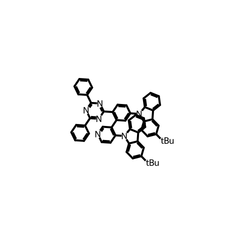 CC(C)(C)c1ccc2c(c1)c1ccccc1n2-c1ccc(-c2nc(-c3ccccc3)nc(-c3ccccc3)n2)c(-c2cnccc2-n2c3ccccc3c3cc(C(C)(C)C)ccc32)c1